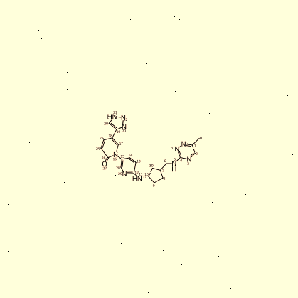 Cc1cnc(NCC2CC[C@H](Nc3ccc(-n4cc(-c5c[nH]nn5)ccc4=O)cn3)C2)nn1